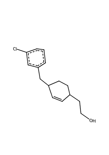 OCCC1C=CC(Cc2cccc(Cl)c2)CC1